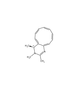 CC1=Nc2ccccccccc2[C@H](C)N1C